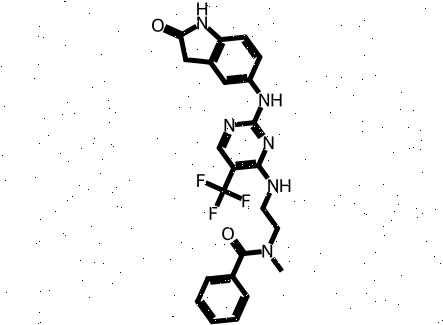 CN(CCNc1nc(Nc2ccc3c(c2)CC(=O)N3)ncc1C(F)(F)F)C(=O)c1ccccc1